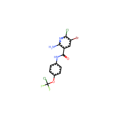 Nc1nc(Cl)c(Br)cc1C(=O)Nc1ccc(OC(F)(F)Cl)cc1